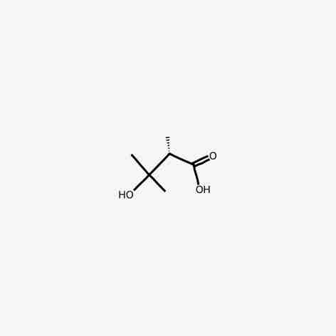 C[C@H](C(=O)O)C(C)(C)O